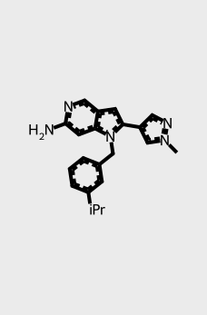 CC(C)c1cccc(Cn2c(-c3cnn(C)c3)cc3cnc(N)cc32)c1